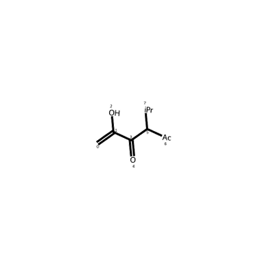 C=C(O)C(=O)C(C(C)=O)C(C)C